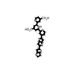 O=C(O)C1=CC(c2cc(C(=O)O)ccn2)NC(c2cc(-c3cc4sc(-c5cc6c(s5)CCS6)cc4s3)ccn2)=C1